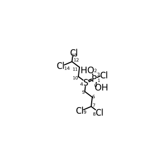 OP(O)(Cl)=S(CCC(Cl)Cl)CCC(Cl)Cl